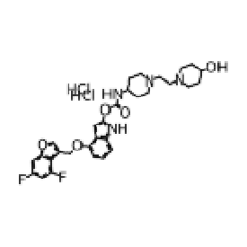 Cl.Cl.O=C(NC1CCN(CCN2CCC(O)CC2)CC1)Oc1cc2c(OCc3coc4cc(F)cc(F)c34)cccc2[nH]1